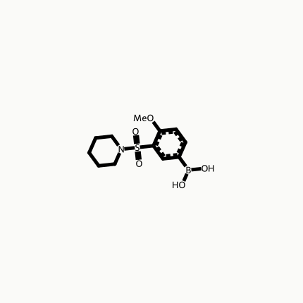 COc1ccc(B(O)O)cc1S(=O)(=O)N1CCCCC1